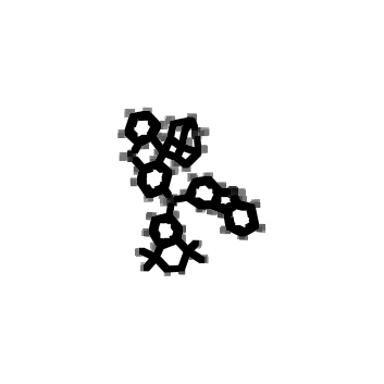 CC1(C)CCC(C)(C)c2cc(N(c3ccc4c(c3)C3(c5ccccc5S4)C4CC5CC6CC3C64C5)c3ccc4oc5ccccc5c4c3)ccc21